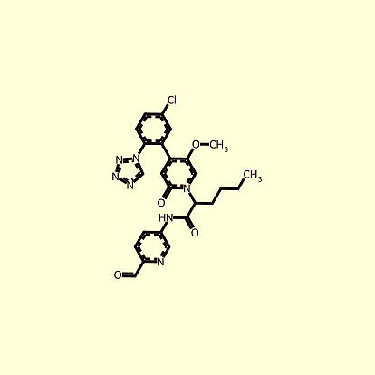 CCCCC(C(=O)Nc1ccc(C=O)nc1)n1cc(OC)c(-c2cc(Cl)ccc2-n2cnnn2)cc1=O